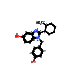 O=C(O)[C@H]1CCCC[C@H]1c1nc2cc(O)ccc2n1Cc1ccc(Br)cc1